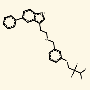 FC(F)C(F)(F)COc1cccc(CNCCc2c[nH]c3ccc(-c4ccccc4)cc23)c1